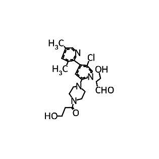 Cc1cnc(-c2cc(N3CCN(C(=O)CCO)CC3)ncc2Cl)c(C)c1.O=CCCO